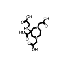 O=C(O)CNC1(C(=O)O)CN(CC(=O)O)CCN(CC(=O)O)C1